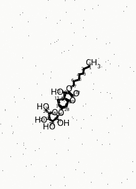 CCCCCCCCOc1c(O)c2ccc(OC3O[C@H](CO)[C@@H](O)[C@H](O)[C@H]3O)cc2oc1=O